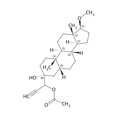 C#CC(OC(C)=O)[C@@]1(O)CC[C@@]2(C)[C@H](CC[C@@H]3[C@@H]2CC[C@]2(C)[C@@H](OC)CC[C@@H]32)C1